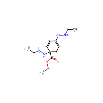 CCNNC1=CCC(NNCC)(C(=O)OCC)C=C1